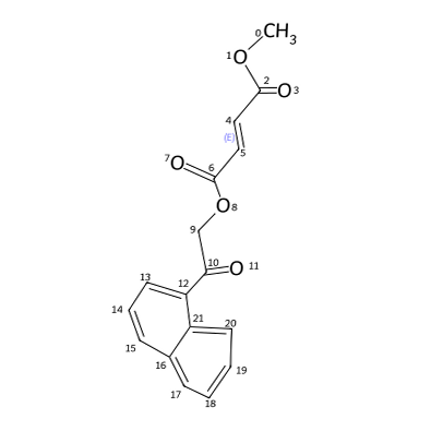 COC(=O)/C=C/C(=O)OCC(=O)c1cccc2ccccc12